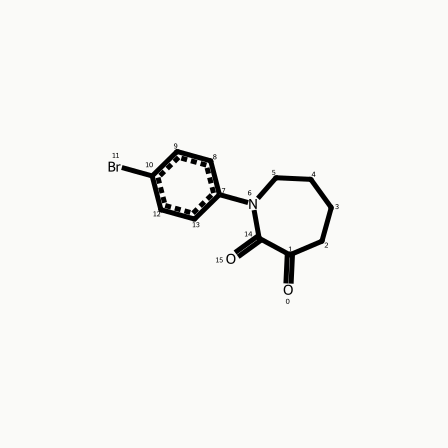 O=C1CCCCN(c2ccc(Br)cc2)C1=O